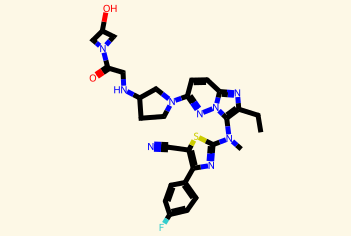 CCc1nc2ccc(N3CCC(NCC(=O)N4CC(O)C4)C3)nn2c1N(C)c1nc(-c2ccc(F)cc2)c(C#N)s1